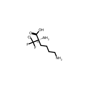 NCCCC[C@](N)(C(=O)O)C(F)(F)Cl